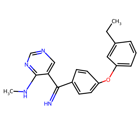 CCc1cccc(Oc2ccc(C(=N)c3cncnc3NC)cc2)c1